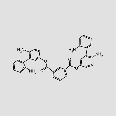 Nc1ccccc1-c1cc(OC(=O)c2cccc(C(=O)Oc3ccc(N)c(-c4ccccc4N)c3)c2)ccc1N